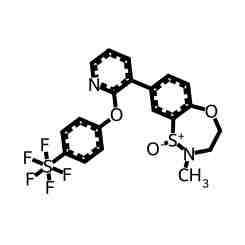 CN1CCOc2ccc(-c3cccnc3Oc3ccc(S(F)(F)(F)(F)F)cc3)cc2[S+]1[O-]